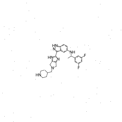 CC(Nc1ccc2[nH]nc(-c3nc4c([nH]3)CN(CC3CCNCC3)C4)c2c1)c1cc(F)cc(F)c1